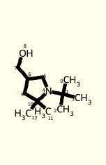 CC(C)(C)N1CC(CO)CC1(C)C